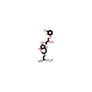 CCCC(CC[C@@H]1CC[C@@H]2[C@@H](/C=C/[C@@H](O)COc3cccc(Cl)c3F)[C@H](O)C[C@@H]2OC1)C(=O)O